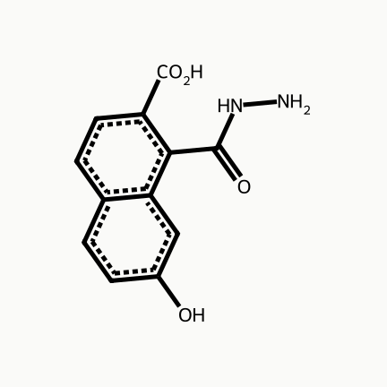 NNC(=O)c1c(C(=O)O)ccc2ccc(O)cc12